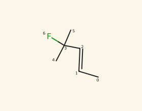 C/C=C/C(C)(C)F